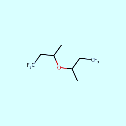 CC(CC(F)(F)F)OC(C)CC(F)(F)F